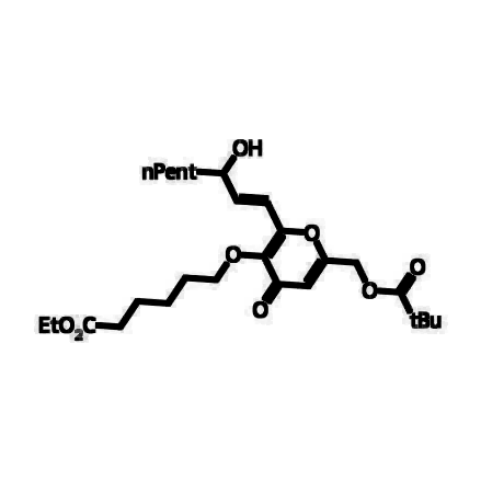 CCCCCC(O)/C=C/c1oc(COC(=O)C(C)(C)C)cc(=O)c1OCCCCCC(=O)OCC